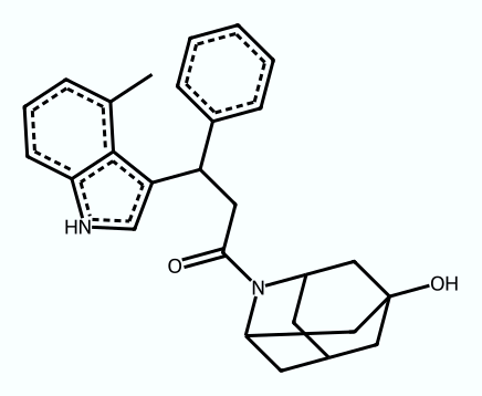 Cc1cccc2[nH]cc(C(CC(=O)N3C4CC5CC3CC(O)(C5)C4)c3ccccc3)c12